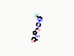 CC1COCCC1NC1CC[C@H](CC(=O)N2CCN(c3nccc(C(F)(F)F)n3)CC2)C1